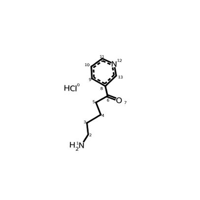 Cl.NCCCCC(=O)c1cccnc1